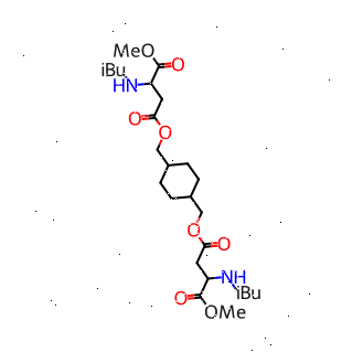 CCC(C)NC(CC(=O)OCC1CCC(COC(=O)CC(NC(C)CC)C(=O)OC)CC1)C(=O)OC